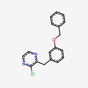 Clc1nccnc1[CH]c1cccc(OCc2ccccc2)c1